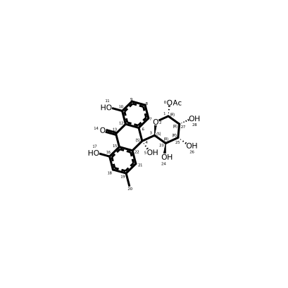 CC(=O)O[C@H]1O[C@H]([C@]2(O)c3cccc(O)c3C(=O)c3c(O)cc(C)cc32)[C@H](O)[C@@H](O)[C@H]1O